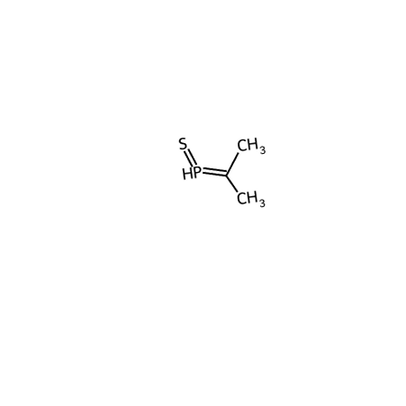 CC(C)=[PH]=S